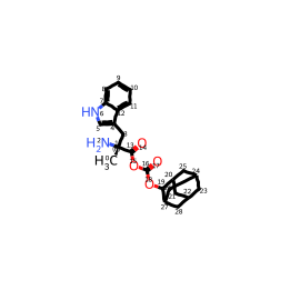 C[C@@](N)(Cc1c[nH]c2ccccc12)C(=O)OC(=O)OC1C2CC3CC(C2)CC1C3